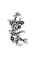 CC(C)[C@@H](NC(=O)[C@H](Cc1ccc(O)cc1)NC(=O)[C@@H](CCCCN)NC(=O)[C@H](CCCNC(=N)N)NC(=O)[C@@H](N)CCC(=O)O)C(=O)N[C@@H](Cc1ccccc1)C(=O)N[C@H](Cc1c[nH]cn1)C(=O)N[C@@H](Cc1c[nH]c2ccccc12)C(=O)N[C@@H](CCCNC(=N)N)C(=O)O